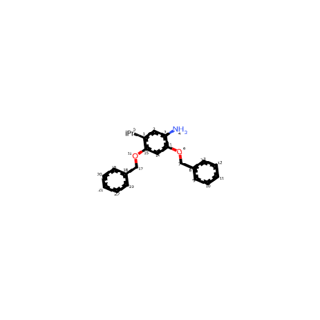 CC(C)c1cc(N)c(OCc2ccccc2)cc1OCc1ccccc1